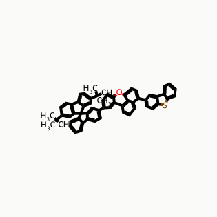 CC(C)(C)c1ccc2c(c1)C1(c3ccccc3-c3ccc(-c4ccc5c(c4)-c4cccc6c(-c7ccc8sc9ccccc9c8c7)ccc(c46)O5)cc31)c1cc(C(C)(C)C)ccc1-2